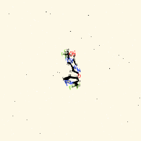 C[C@H]1Cn2nc(Oc3ccnc(C(F)(F)F)c3)cc2-c2cnc(C(C)(O)C(F)(F)F)n21